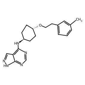 Cc1cccc(CCO[C@H]2CC[C@H](Nc3ncnc4[nH]ncc34)CC2)c1